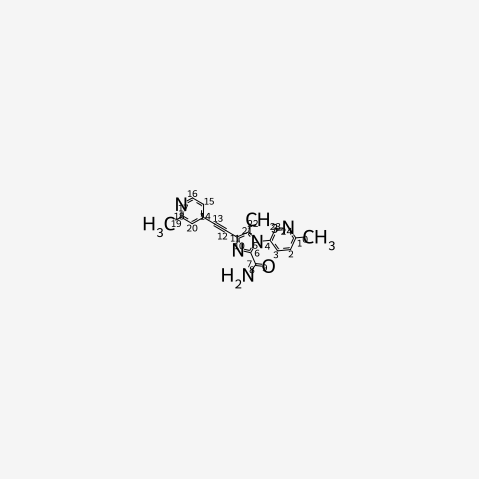 Cc1ccc(-n2c(C(N)=O)nc(C#Cc3ccnc(C)c3)c2C)cn1